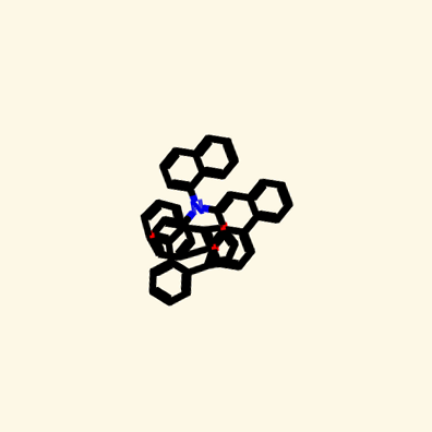 c1ccc2c(c1)-c1cccc3c1-c1cc(N(c4cccc5ccccc45)c4cc5ccccc5c5ccccc45)ccc1-c1cccc-3c1-2